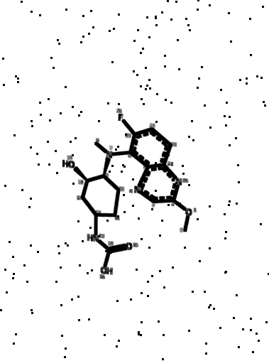 COc1cnc2c(N(C)[C@H]3CCC(NC(=O)O)C[C@H]3O)c(F)ccc2n1